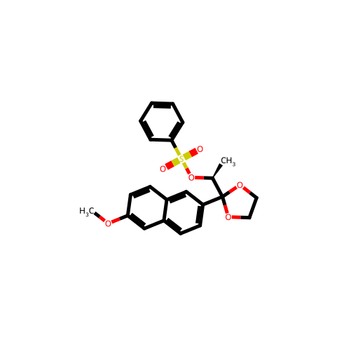 COc1ccc2cc(C3([C@H](C)OS(=O)(=O)c4ccccc4)OCCO3)ccc2c1